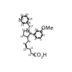 COc1cccc(C2C(C/C=C\CCC(=O)O)CCN2Cc2cccnc2)c1